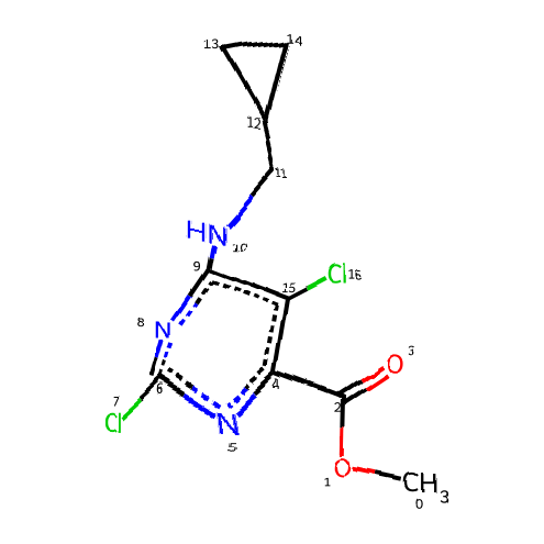 COC(=O)c1nc(Cl)nc(NCC2CC2)c1Cl